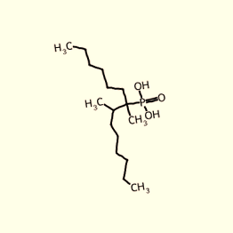 CCCCCCC(C)C(C)(CCCCCC)P(=O)(O)O